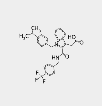 CC(C)c1ccc(Cn2c(C(=O)NCc3ccc(C(F)(F)F)cc3)c(CC(=O)O)c3ccccc32)cc1